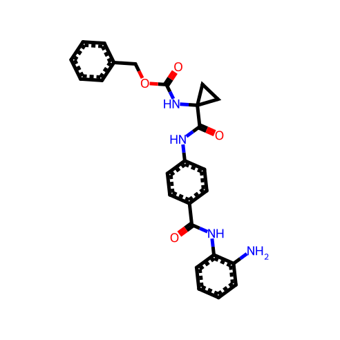 Nc1ccccc1NC(=O)c1ccc(NC(=O)C2(NC(=O)OCc3ccccc3)CC2)cc1